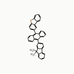 CC1(C)c2ccccc2-c2ccc(-c3c4ccccc4c(-c4ccc5sc6ccccc6c5c4)c4ccccc34)cc21